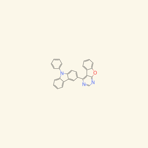 c1ccc(-n2c3ccccc3c3cc(-c4ncnc5oc6ccccc6c45)ccc32)cc1